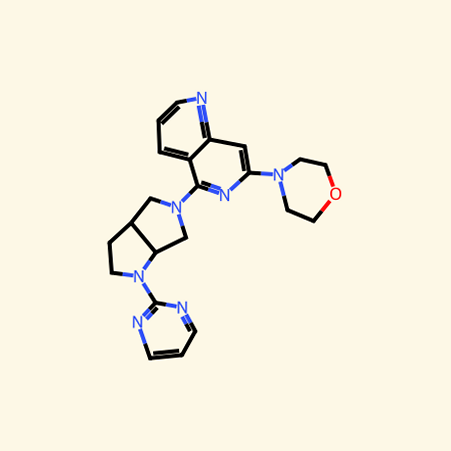 c1cnc(N2CCC3CN(c4nc(N5CCOCC5)cc5ncccc45)CC32)nc1